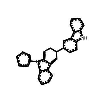 C1=c2c(n(-c3ccccc3)c3ccccc23)=CCC1c1ccc2[nH]c3ccccc3c2c1